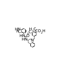 CC(=O)O.O=C(Nc1cccc2[nH]ncc12)NC1Cc2ccccc2N(Cc2cccc(C(F)(F)F)c2)C1